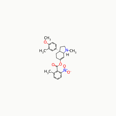 COc1ccc([C@@]23CCC(OC(=O)c4c(C)cccc4[N+](=O)[O-])=C[C@@H]2N(C)CC3)cc1C